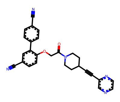 N#Cc1ccc(-c2cc(C#N)ccc2OCC(=O)N2CCC(C#Cc3cnccn3)CC2)cc1